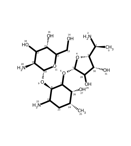 C[C@H](N)[C@H]1O[C@@H](OC2[C@H](O[C@H]3OC(CO)[C@@H](O)C(O)[C@@H]3N)C(N)C[C@@H](C)[C@H]2O)C(O)[C@H]1O